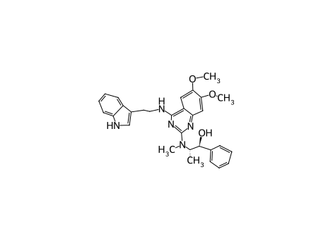 COc1cc2nc(N(C)[C@@H](C)[C@@H](O)c3ccccc3)nc(NCCc3c[nH]c4ccccc34)c2cc1OC